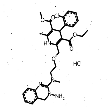 CCOC(=O)C1=C(COCCN(C)C2=Nc3ccccc3CN2N)NC(C)=C(C(=O)OC)C1c1ccccc1Cl.Cl